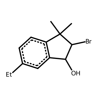 CCc1ccc2c(c1)C(O)C(Br)C2(C)C